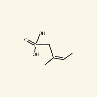 CC=C(C)CP(=O)(O)O